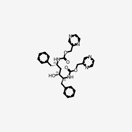 O=C(N[C@@H](Cc1ccccc1)C[C@H](O)[C@H](Cc1ccccc1)NC(=O)OCc1cnccn1)OCc1cnccn1